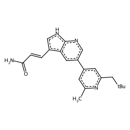 Cc1cc(-c2cnc3[nH]cc(/C=C/C(N)=O)c3c2)cc(CC(C)(C)C)n1